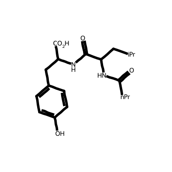 CCCC(=O)NC(CC(C)C)C(=O)NC(Cc1ccc(O)cc1)C(=O)O